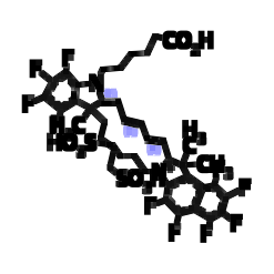 CC1(C)C(/C=C/C=C/C=C2/N(CCCCCC(=O)O)c3c(F)c(F)c(F)c(F)c3C2(C)CCCCS(=O)(=O)O)=[N+](CCCCS(=O)(=O)O)c2c(F)c(F)c3c(F)c(F)c(F)c(F)c3c21